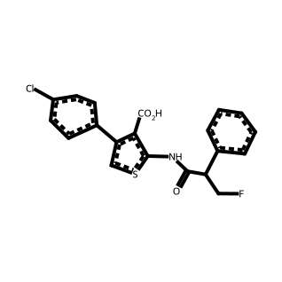 O=C(O)c1c(-c2ccc(Cl)cc2)csc1NC(=O)C(CF)c1ccccc1